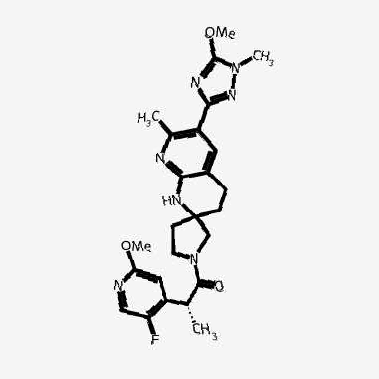 COc1cc([C@@H](C)C(=O)N2CCC3(CCc4cc(-c5nc(OC)n(C)n5)c(C)nc4N3)C2)c(F)cn1